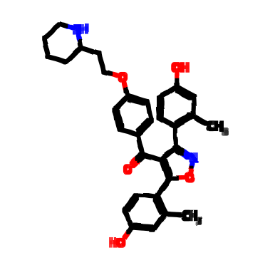 Cc1cc(O)ccc1-c1noc(-c2ccc(O)cc2C)c1C(=O)c1ccc(OCCC2CCCCN2)cc1